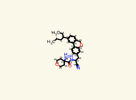 CCCC(CC)c1ccc2c(c1)-c1ccc(CC(C#N)NC(=O)C3(N)CCOCC3)cc1OC2